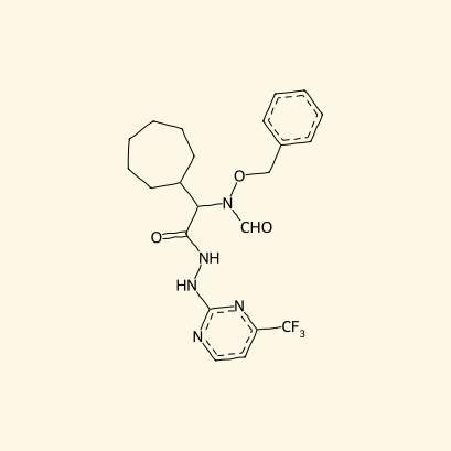 O=CN(OCc1ccccc1)C(C(=O)NNc1nccc(C(F)(F)F)n1)C1CCCCCC1